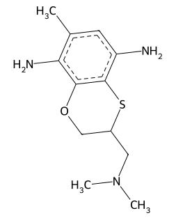 Cc1cc(N)c2c(c1N)OCC(CN(C)C)S2